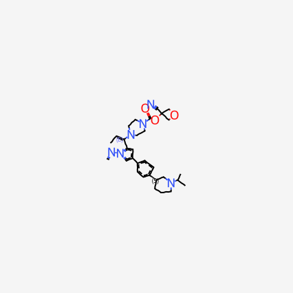 C=Nn1cc(-c2ccc([C@@H]3CCCN(C(C)C)C3)cc2)cc1/C(=C\C)N1CCN(C(=O)OC2(C#N)COC2)CC1